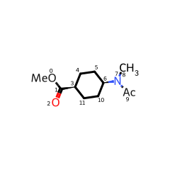 COC(=O)[C@H]1CC[C@@H](N(C)C(C)=O)CC1